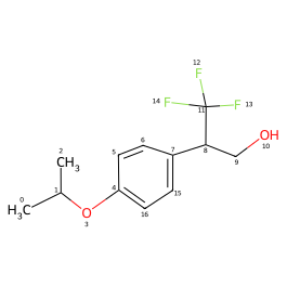 CC(C)Oc1ccc(C(CO)C(F)(F)F)cc1